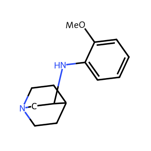 COc1ccccc1NC1CN2CCC1CC2